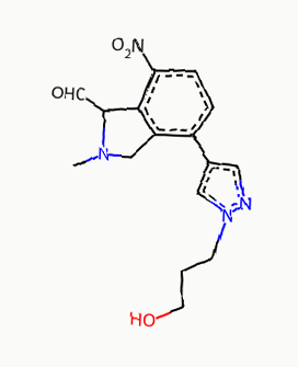 CN1Cc2c(-c3cnn(CCCO)c3)ccc([N+](=O)[O-])c2C1C=O